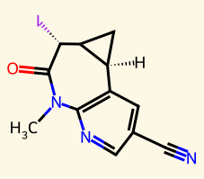 CN1C(=O)[C@H](I)C2C[C@H]2c2cc(C#N)cnc21